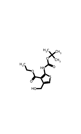 CCOC(=O)c1c(CO)csc1NC(=O)OC(C)(C)C